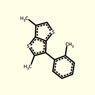 Cc1ccccc1-c1c(C)sc2c(C)csc12